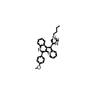 CCCCn1cc(-c2c3c4ccccc4nc(-c4ccc(OC)cc4)c3n3ccccc23)nn1